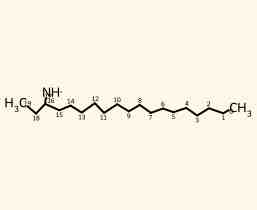 CCCCCCCCCCCCCCCCC([NH])CC